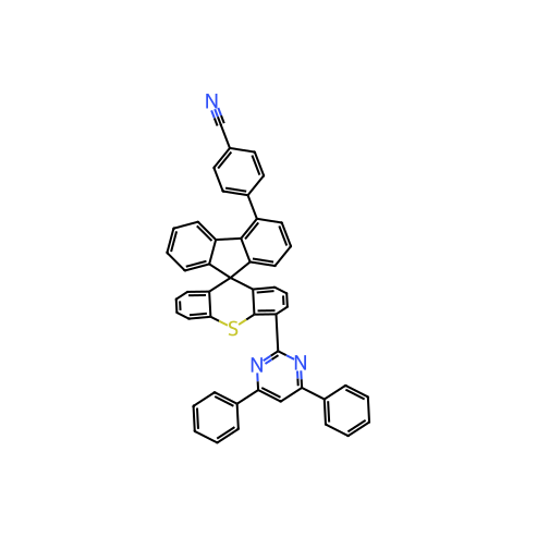 N#Cc1ccc(-c2cccc3c2-c2ccccc2C32c3ccccc3Sc3c(-c4nc(-c5ccccc5)cc(-c5ccccc5)n4)cccc32)cc1